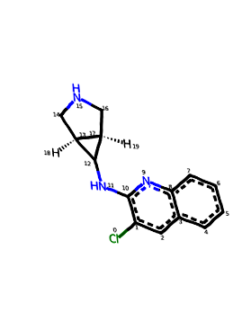 Clc1cc2ccccc2nc1NC1[C@H]2CNC[C@@H]12